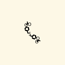 CC(=O)Oc1ccc(CSCc2ccc(OC(C)=O)cc2)cc1